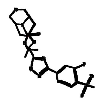 CC(C)OC(=O)N1C2COCC1CC(OCc1nc(-c3ccc(S(C)(=O)=O)c(F)c3)no1)C2